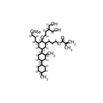 C=C(C)C(=O)OCCCC1CC(C2CCC(C3CCC(C)CC3)CC2C)CC(CCCOC)C1OCCC(CO)CO